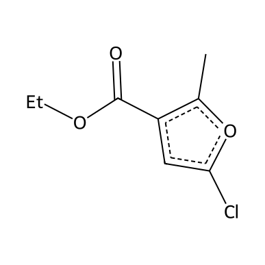 CCOC(=O)c1cc(Cl)oc1C